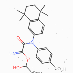 CCCCCC(O)OC(=N)C(=O)N(c1ccc(C(=O)O)cc1)c1ccc2c(c1)C(C)(C)CCC2(C)C